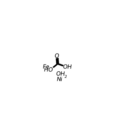 O.O=C(O)O.[Fe].[Ni]